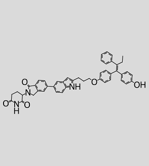 CCC(=C(c1ccc(O)cc1)c1ccc(OCCCc2cc3cc(-c4ccc5c(c4)CN(C4CCC(=O)NC4=O)C5=O)ccc3[nH]2)cc1)c1ccccc1